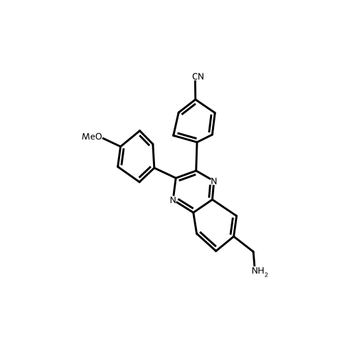 COc1ccc(-c2nc3ccc(CN)cc3nc2-c2ccc(C#N)cc2)cc1